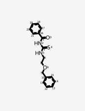 O=C(NC(=S)NCCOCc1ccccc1)c1ccccc1